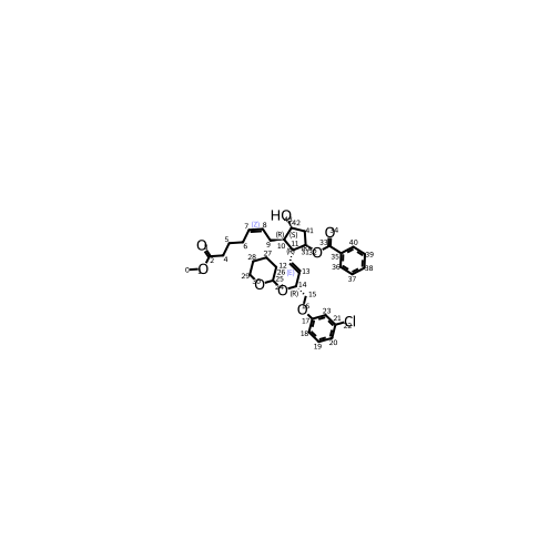 COC(=O)CCC/C=C\C[C@@H]1[C@@H](/C=C/[C@H](COc2cccc(Cl)c2)OC2CCCCO2)[C@H](OC(=O)c2ccccc2)C[C@@H]1O